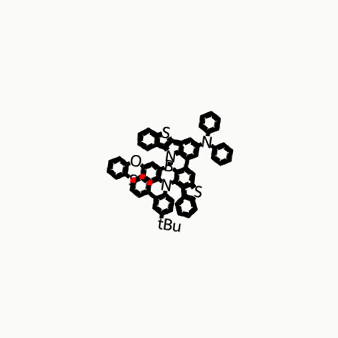 CC(C)(C)c1ccc(N2c3cc4c(cc3B3c5c(cc6sc7ccccc7c6c52)-c2cc(N(c5ccccc5)c5ccccc5)cc5c6sc7ccccc7c6n3c25)Oc2ccccc2S4)c(-c2ccccc2)c1